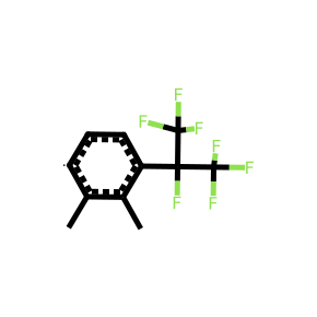 Cc1[c]ccc(C(F)(C(F)(F)F)C(F)(F)F)c1C